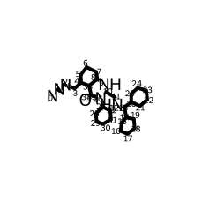 [N-]=[N+]=NCC1CCCC2NC(CNC(C3CCCCC3)C3CCCCC3)N(C3CCCCC3)C(=O)C12